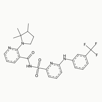 CC1CCN(c2ncccc2C(=O)NS(=O)(=O)c2cccc(Nc3cccc(C(F)(F)F)c3)n2)C1(C)C